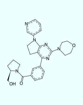 O=C(c1cccc(-c2nc(N3CCOCC3)nc3c2CCN3c2cccnc2)c1)N1CCC[C@@H]1CO